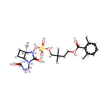 Cc1cccc(C)c1C(=O)OCCC(C)(C)COS(=O)(=O)ON1C(=O)N(C)[C@@]2(C(N)=O)CC[C@@H]12